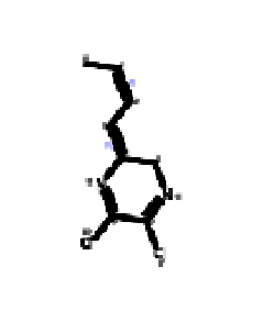 C/C=C\C=C1/CN=C(Cl)C(Cl)=N1